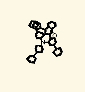 c1ccc(-c2ccc(N(c3ccc(-c4ccccc4)cc3)c3cc(-c4ccccc4)cc4oc5c6ccccc6c(-c6ccccc6)cc5c34)cc2)cc1